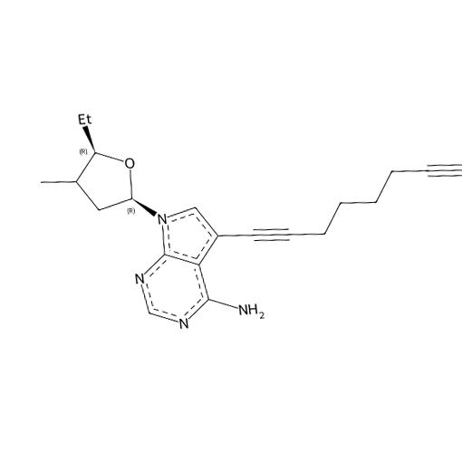 C#CCCCCC#Cc1cn([C@H]2CC(C)[C@@H](CC)O2)c2ncnc(N)c12